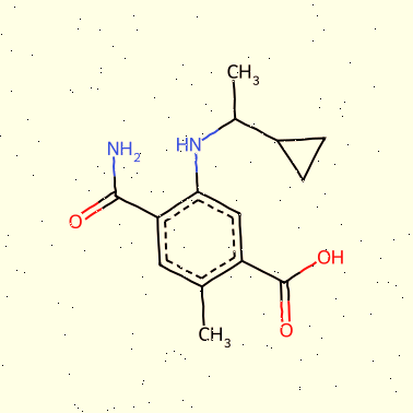 Cc1cc(C(N)=O)c(NC(C)C2CC2)cc1C(=O)O